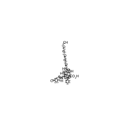 C#CCOCCOCCOCCOCCOCCNC(=O)NC1C(O)CC(OCc2ccccc2)(C(=O)O)OC1[C@H](O)[C@H](O)CNC(=O)Cc1ccc(Cl)cc1